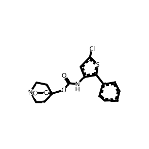 O=C(Nc1cc(Cl)sc1-c1ccccc1)OC12CCN(CC1)CC2